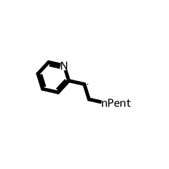 CCCCCC[CH]c1ccccn1